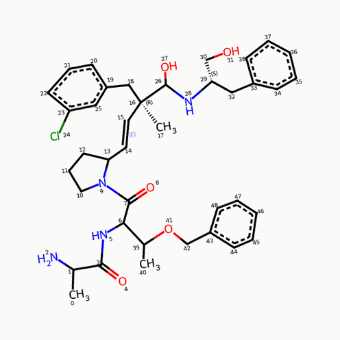 CC(N)C(=O)NC(C(=O)N1CCCC1/C=C/[C@@](C)(Cc1cccc(Cl)c1)C(O)N[C@H](CO)Cc1ccccc1)C(C)OCc1ccccc1